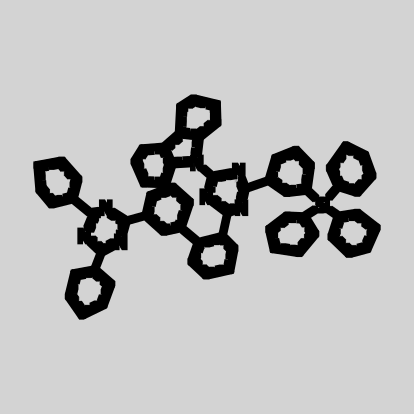 c1ccc(-c2nc(-c3ccccc3)nc(-c3cccc(-c4ccccc4-c4nc(-c5cccc([Si](c6ccccc6)(c6ccccc6)c6ccccc6)c5)nc(-n5c6ccccc6c6ccccc65)n4)c3)n2)cc1